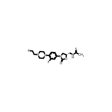 CC(=S)NC[C@H]1CN(c2ccc(N3CCN(CCF)CC3)c(F)c2)C(=O)O1